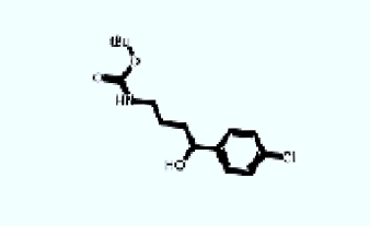 CC(C)(C)OC(=O)NCCCC(O)c1ccc(Cl)cc1